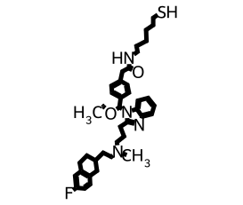 CCOC(c1ccc(CC(=O)NCCCCCCS)cc1)n1c(CCCN(C)CCC2CCc3cc(F)ccc3C2)nc2ccccc21